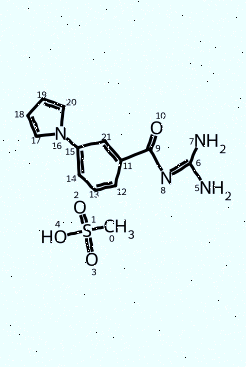 CS(=O)(=O)O.NC(N)=NC(=O)c1cccc(-n2cccc2)c1